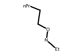 CCCCCO[N]CC